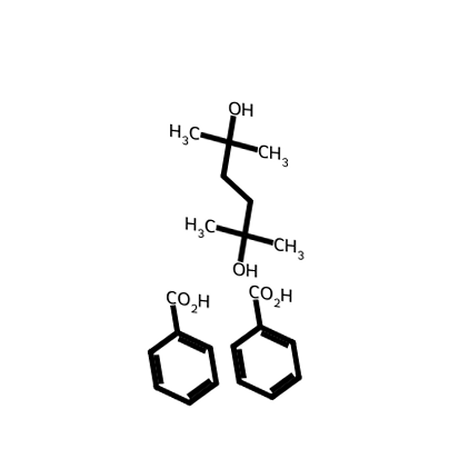 CC(C)(O)CCC(C)(C)O.O=C(O)c1ccccc1.O=C(O)c1ccccc1